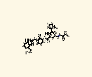 CC(C)Cc1cccc2[nH]c(Cn3cccc(NC(=O)[C@H](CC/C=C/C(=O)N(C)C)NC(=O)c4nccn4C)c3=O)nc12